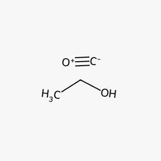 CCO.[C-]#[O+]